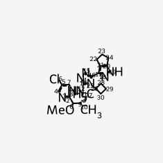 COC(c1ncc(Cl)cn1)C(C)SNc1nnc(-c2n[nH]c3c2CCC3)n1C1(C)CCC1